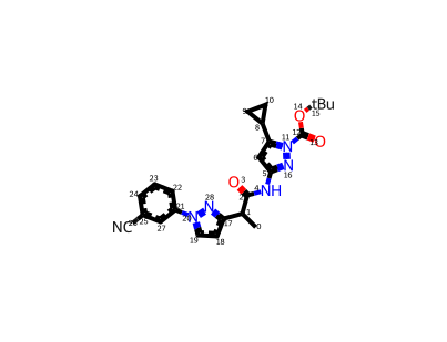 CC(C(=O)Nc1cc(C2CC2)n(C(=O)OC(C)(C)C)n1)c1ccn(-c2cccc(C#N)c2)n1